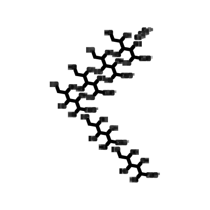 O=C([O-])C(O)C(O)C(O)C(O)CO.O=C([O-])C(O)C(O)C(O)C(O)CO.O=C([O-])C(O)C(O)C(O)C(O)CO.O=C([O-])C(O)C(O)C(O)C(O)CO.O=C([O-])C(O)C(O)C(O)C(O)CO.O=C([O-])C(O)C(O)C(O)C(O)CO.[Ca+2].[Ca+2].[Ca+2]